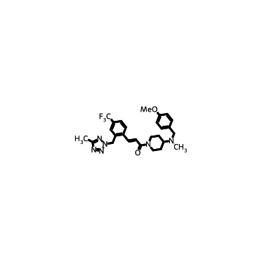 COc1ccc(CN(C)C2CCN(C(=O)C=Cc3ccc(C(F)(F)F)cc3Cn3nnc(C)n3)CC2)cc1